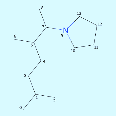 CC(C)CCC(C)C(C)N1CCCC1